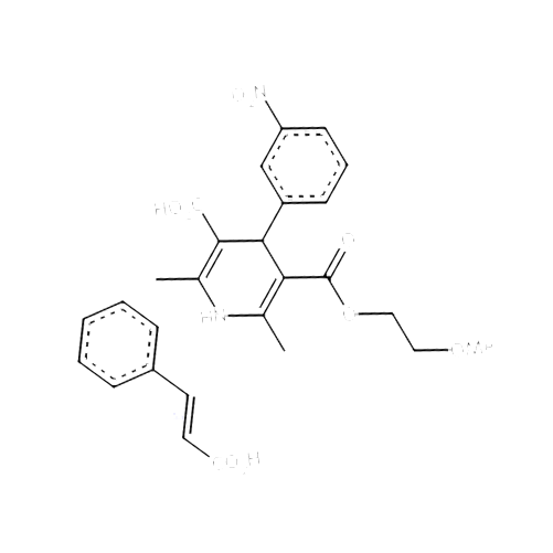 COCCOC(=O)C1=C(C)NC(C)=C(C(=O)O)C1c1cccc([N+](=O)[O-])c1.O=C(O)/C=C/c1ccccc1